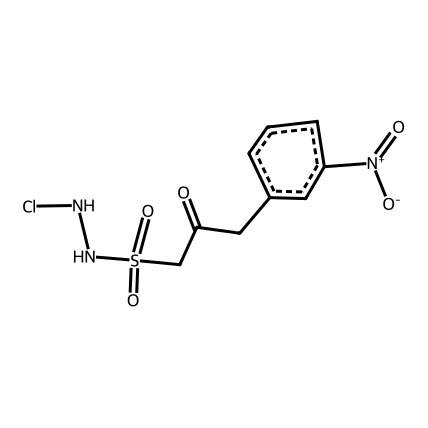 O=C(Cc1cccc([N+](=O)[O-])c1)CS(=O)(=O)NNCl